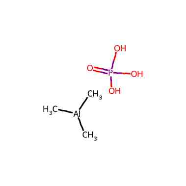 O=P(O)(O)O.[CH3][Al]([CH3])[CH3]